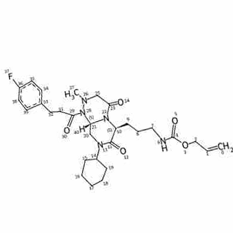 C=CCOC(=O)NCCC[C@H]1C(=O)N(C2CCCCC2)C[C@H]2N1C(=O)CN(C)N2C(=O)CCc1ccc(F)cc1